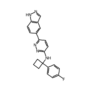 Fc1ccc(C2(Nc3ccc(-c4ccc5[nH]ncc5c4)nn3)CCC2)cc1